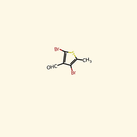 Cc1sc(Br)c(C=O)c1Br